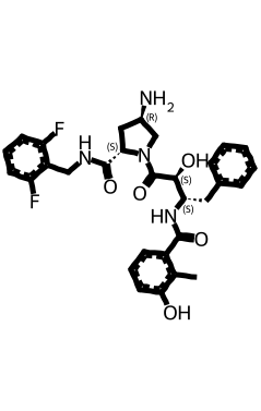 Cc1c(O)cccc1C(=O)N[C@@H](Cc1ccccc1)[C@H](O)C(=O)N1C[C@H](N)C[C@H]1C(=O)NCc1c(F)cccc1F